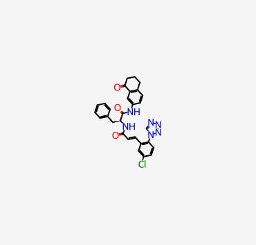 O=C(/C=C/c1cc(Cl)ccc1-n1cnnn1)N[C@@H](Cc1ccccc1)C(=O)Nc1ccc2c(c1)C(=O)CCC2